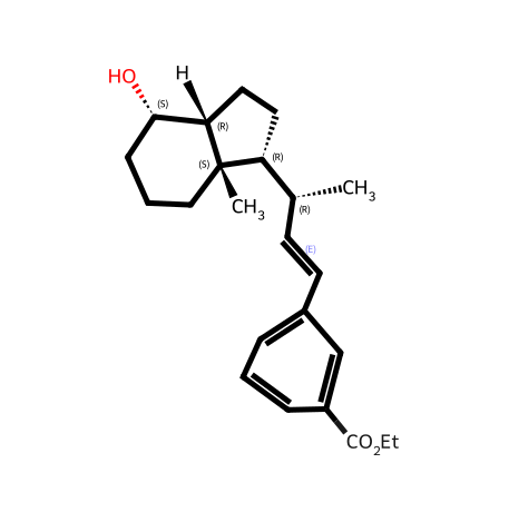 CCOC(=O)c1cccc(/C=C/[C@@H](C)[C@H]2CC[C@H]3[C@@H](O)CCC[C@@]23C)c1